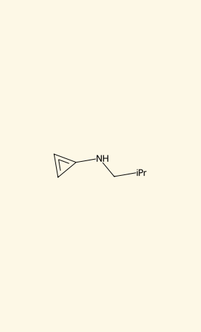 CC(C)CNC1=C=C1